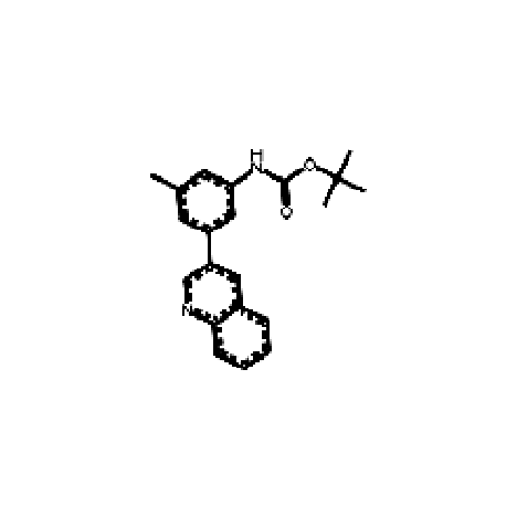 Cc1cc(NC(=O)OC(C)(C)C)cc(-c2cnc3ccccc3c2)c1